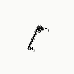 CCCCCCCCCCCCCCCCC(C)[PH](=O)CCC